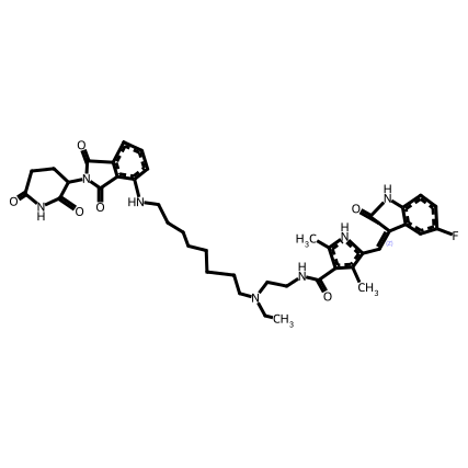 CCN(CCCCCCCCNc1cccc2c1C(=O)N(C1CCC(=O)NC1=O)C2=O)CCNC(=O)c1c(C)[nH]c(/C=C2\C(=O)Nc3ccc(F)cc32)c1C